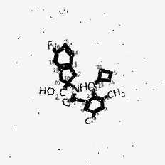 Cc1cc(Cl)cc(C(=O)NC2(C(=O)O)Cc3ccc(F)cc3C2)c1OC1CCC1